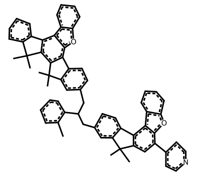 Cc1ccccc1C(Cc1ccc2c(c1)C(C)(C)c1cc(-c3ccncc3)c3oc4ccccc4c3c1-2)Cc1ccc2c(c1)C(C)(C)c1c3c(c4c(oc5ccccc54)c1-2)-c1ccccc1C3(C)C